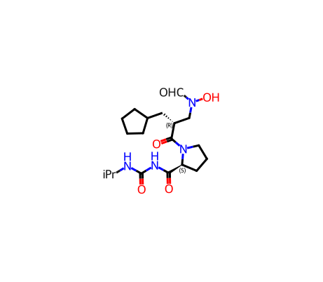 CC(C)NC(=O)NC(=O)[C@@H]1CCCN1C(=O)[C@H](CC1CCCC1)CN(O)C=O